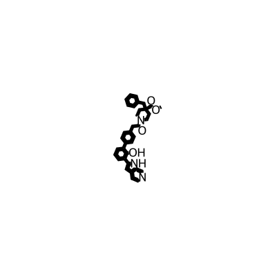 COC(=O)C1(Cc2ccccc2)CCN(C(=O)Cc2ccc(-c3cccc(-c4cc5ccncc5[nH]4)c3O)cc2)CC1